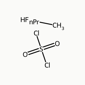 CCCC.F.O=S(=O)(Cl)Cl